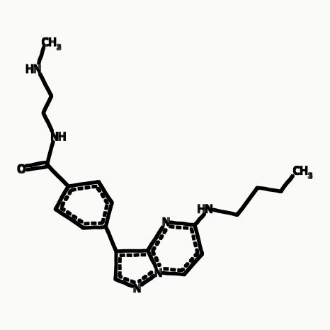 CCCCNc1ccn2ncc(-c3ccc(C(=O)NCCNC)cc3)c2n1